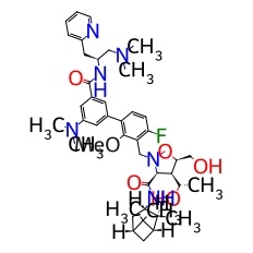 COc1c(-c2cc(C(=O)N[C@@H](Cc3ccccn3)CN(C)C)cc(N(C)C)c2)ccc(F)c1CN1O[C@@H](CO)[C@@H]([C@H](C)O)[C@H]1C(=O)N[C@H]1C[C@H]2C[C@@H]([C@@H]1C)C2(C)C